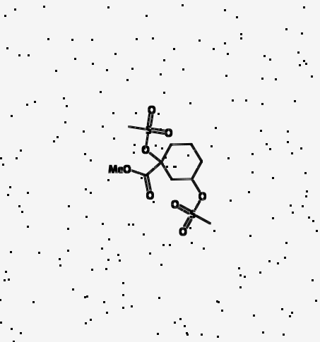 COC(=O)C1(OS(C)(=O)=O)CCCC(OS(C)(=O)=O)C1